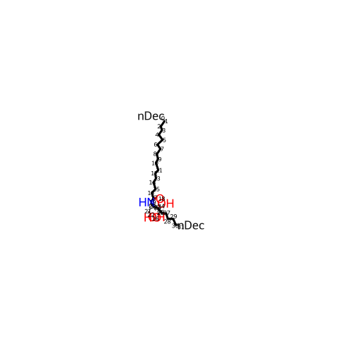 CCCCCCCCCCCCCCCCCCCCCCCCCCC(=O)N[C@@H](CO)[C@H](O)[C@H](O)CCCCCCCCCCCCCC